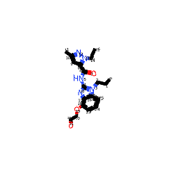 CCCn1c(NC(=O)c2cc(C)nn2CC)nc2c(OCC=O)cccc21